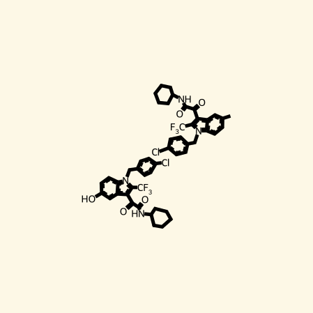 Cc1ccc2c(c1)c(C(=O)C(=O)NC1CCCCC1)c(C(F)(F)F)n2Cc1ccc(Cl)cc1.O=C(NC1CCCCC1)C(=O)c1c(C(F)(F)F)n(Cc2ccc(Cl)cc2)c2ccc(O)cc12